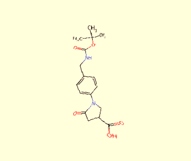 CC(C)(C)OC(=O)NCc1ccc(N2CC(C(=O)O)CC2=O)cc1